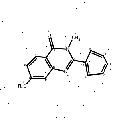 Cc1ccc2c(=O)n(C)c(-c3ccccc3)nc2c1